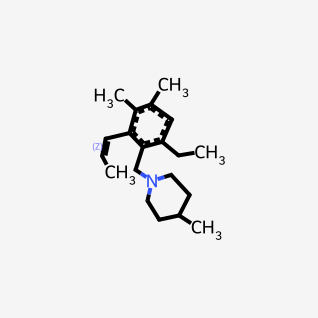 C/C=C\c1c(C)c(C)cc(CC)c1CN1CCC(C)CC1